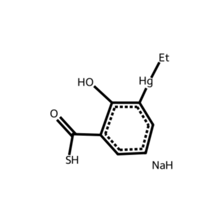 C[CH2][Hg][c]1cccc(C(=O)S)c1O.[NaH]